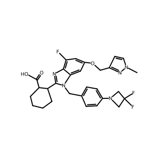 Cn1ccc(COc2cc(F)c3nc(C4CCCCC4C(=O)O)n(Cc4ccc(N5CC(F)(F)C5)cc4)c3c2)n1